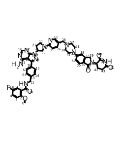 COc1ccc(F)cc1C(=O)NCc1ccc(-c2nn(C3CCN(c4ccc(CN5CCN(c6ccc7c(c6)CN(C6CCC(=O)NC6=O)C7=O)CC5)cn4)C3)c3ncnc(N)c23)cc1